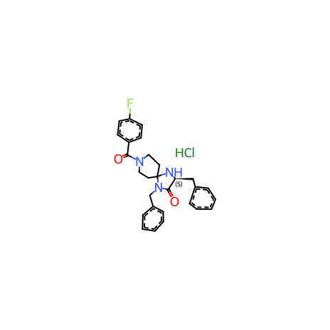 Cl.O=C(c1ccc(F)cc1)N1CCC2(CC1)N[C@@H](Cc1ccccc1)C(=O)N2Cc1ccccc1